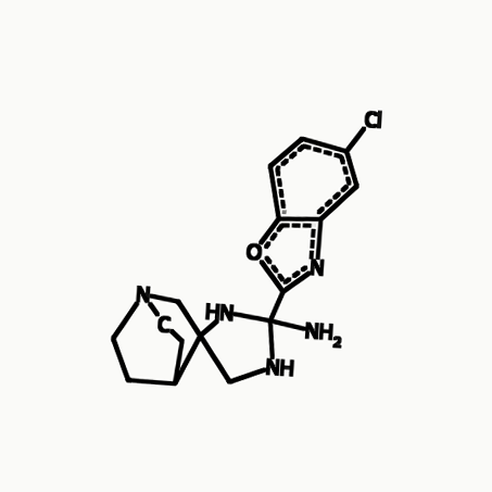 NC1(c2nc3cc(Cl)ccc3o2)NCC2(CN3CCC2CC3)N1